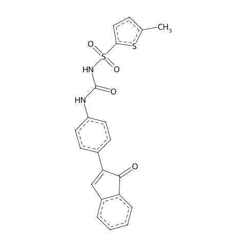 Cc1ccc(S(=O)(=O)NC(=O)Nc2ccc(C3=Cc4ccccc4C3=O)cc2)s1